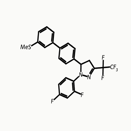 CSc1cccc(-c2ccc(C3CC(C(F)(F)C(F)(F)F)=NN3c3ccc(F)cc3F)cc2)c1